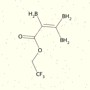 BC(B)=C(B)C(=O)OCC(F)(F)F